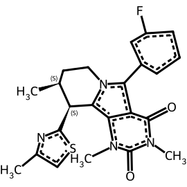 Cc1csc([C@@H]2c3c4c(c(-c5cccc(F)c5)n3CC[C@@H]2C)c(=O)n(C)c(=O)n4C)n1